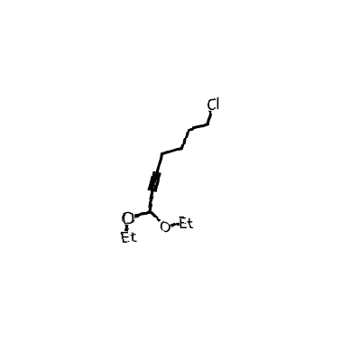 CCOC(C#CCCCCCl)OCC